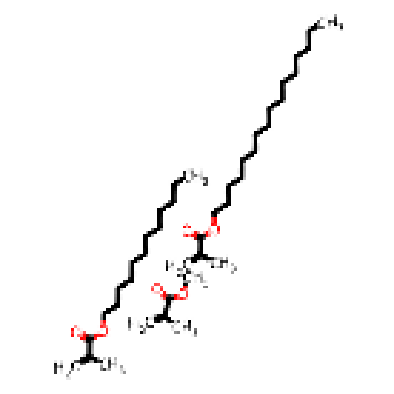 C=C(C)C(=O)OC.C=C(C)C(=O)OCCCCCCCCCCCC.C=C(C)C(=O)OCCCCCCCCCCCCCCCC